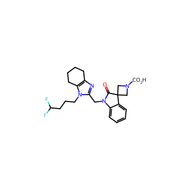 O=C(O)N1CC2(C1)C(=O)N(Cc1nc3c(n1CCCC(F)F)CCCC3)c1ccccc12